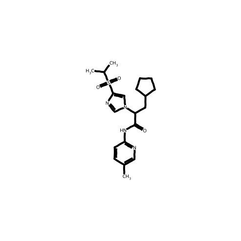 Cc1ccc(NC(=O)C(CC2CCCC2)n2cnc(S(=O)(=O)C(C)C)c2)nc1